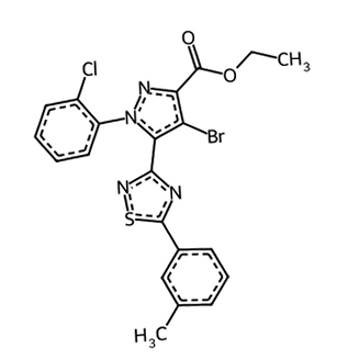 CCOC(=O)c1nn(-c2ccccc2Cl)c(-c2nsc(-c3cccc(C)c3)n2)c1Br